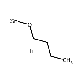 CCCC[O][Sn].[Ti]